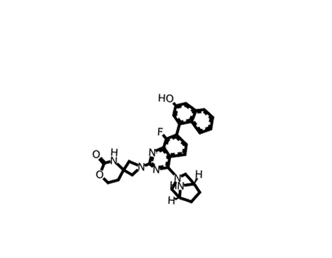 O=C1NC2(CCO1)CN(c1nc(N3C[C@H]4CC[C@@H](C3)N4)c3ccc(-c4cc(O)cc5ccccc45)c(F)c3n1)C2